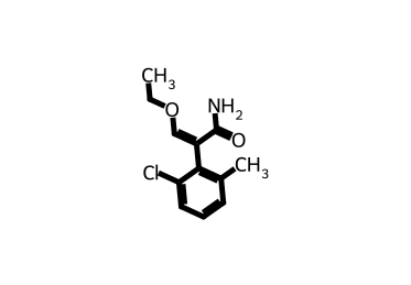 CCOC=C(C(N)=O)c1c(C)cccc1Cl